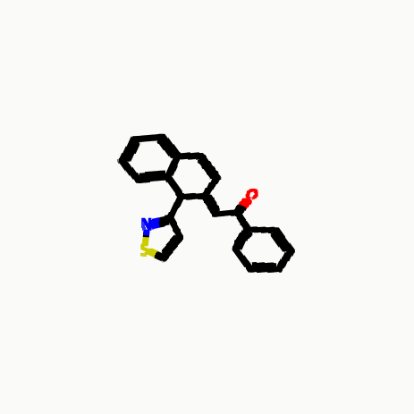 O=C(C=C1C=Cc2ccccc2C1c1ccsn1)c1ccccc1